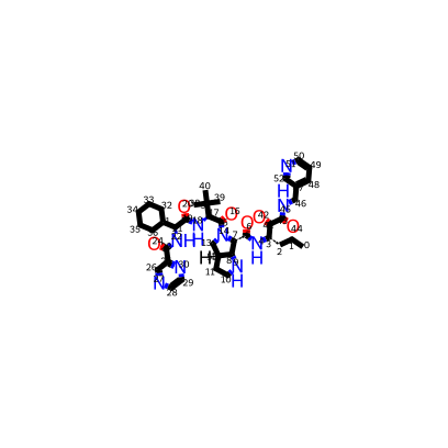 CCC[C@H](NC(=O)[C@@H]1C2NCC[C@H]2CN1C(=O)[C@@H](NC(=O)[C@@H](NC(=O)c1cnccn1)C1CCCCC1)C(C)(C)C)C(=O)C(=O)NCc1cccnc1